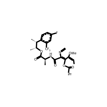 C=N/C(C(=O)N[C@@H](C)C(=O)O[C@H](C)[C@H](C)c1ccc(F)cc1C(F)(F)F)=C(OC(=O)C(C)C)\C(=C/C)OC